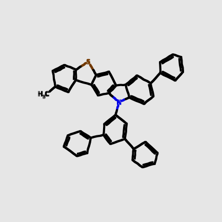 Cc1ccc2sc3cc4c5cc(-c6ccccc6)ccc5n(-c5cc(-c6ccccc6)cc(-c6ccccc6)c5)c4cc3c2c1